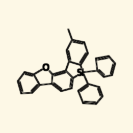 Cc1ccc2c(c1)-c1c(ccc3c1oc1ccccc13)[Si]2(c1ccccc1)c1ccccc1